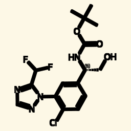 CC(C)(C)OC(=O)N[C@H](CO)c1ccc(Cl)c(-n2ncnc2C(F)F)c1